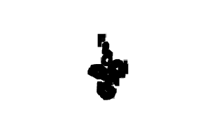 FCCCOc1cncc(N=C(c2ccccc2)c2ccccc2)c1